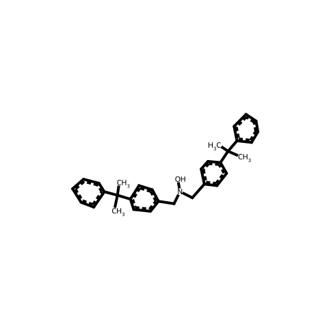 CC(C)(c1ccccc1)c1ccc(CN(O)Cc2ccc(C(C)(C)c3ccccc3)cc2)cc1